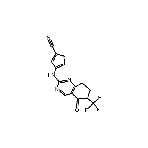 N#Cc1cc(Nc2ncc3c(n2)CCC(C(F)(F)F)C3=O)cs1